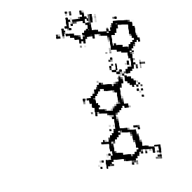 O=S(=O)(Nc1cccc(-c2nnn[nH]2)c1)c1cccc(-c2cc(Cl)cc(Cl)c2)c1